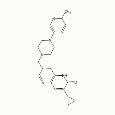 Cc1ccc(N2CCN(Cc3cnc4cc(C5CC5)c(=O)[nH]c4c3)CC2)cn1